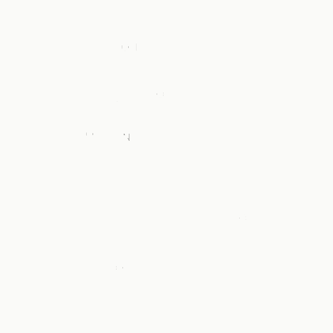 COc1ccc(C2OCC3(CO)COC(c4ccc(OC)cc4)N23)cc1